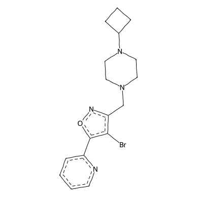 Brc1c(CN2CCN(C3CCC3)CC2)noc1-c1ccccn1